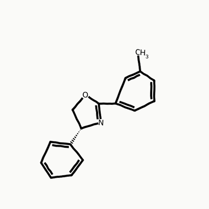 Cc1cccc(C2=N[C@H](c3ccccc3)CO2)c1